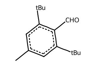 Cc1cc(C(C)(C)C)c(C=O)c(C(C)(C)C)c1